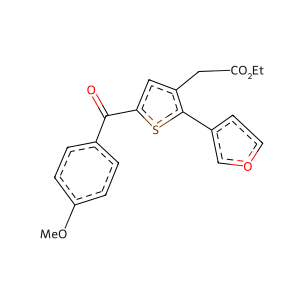 CCOC(=O)Cc1cc(C(=O)c2ccc(OC)cc2)sc1-c1ccoc1